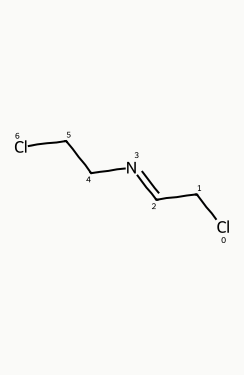 ClCC=NCCCl